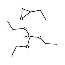 CCC1CO1.CCO[SiH](OCC)OCC